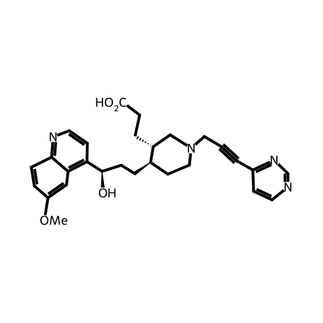 COc1ccc2nccc([C@H](O)CC[C@@H]3CCN(CC#Cc4ccncn4)C[C@H]3CCC(=O)O)c2c1